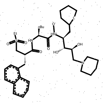 CCCC[C@H](NC(=O)[C@H](Cc1cccc2ccccc12)CS(=O)(=O)CC)C(=O)[NH+]([O-])[C@@H](CC1CCCCC1)[C@@H](O)[C@@H](O)CN1CCCCC1